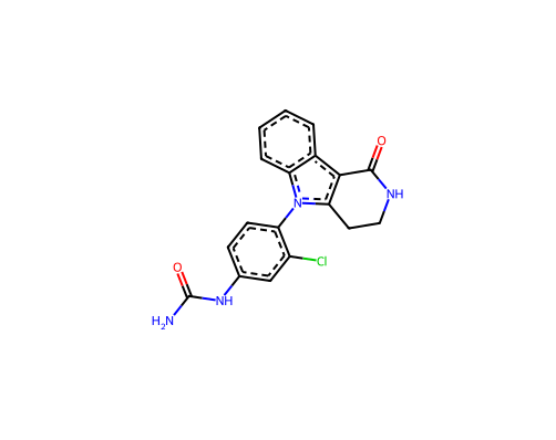 NC(=O)Nc1ccc(-n2c3c(c4ccccc42)C(=O)NCC3)c(Cl)c1